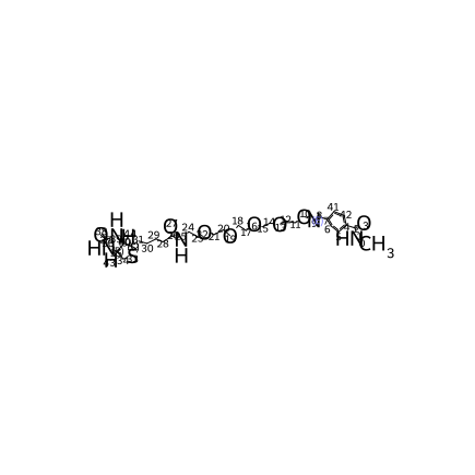 CNC(=O)c1ccc(/C=N/OCCOCCOCCOCCOCCNC(=O)CCCC[C@@H]2SC[C@@H]3NC(=O)N[C@@H]32)cc1